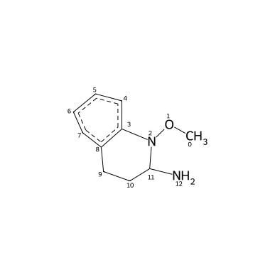 CON1c2ccccc2CCC1N